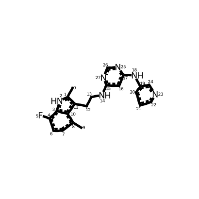 Cc1[nH]c2c(F)ccc(C)c2c1CCNc1cc(Nc2cccnc2)ncn1